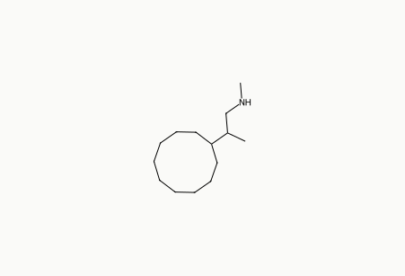 CNCC(C)C1CCCCCCCCC1